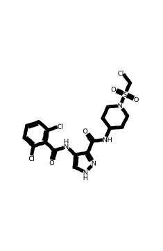 O=C(NC1CCN(S(=O)(=O)CCl)CC1)c1n[nH]cc1NC(=O)c1c(Cl)cccc1Cl